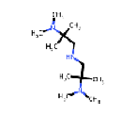 CN(C)C(C)(C)CNCC(C)(C)N(C)C